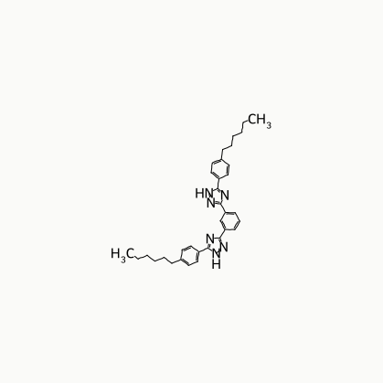 CCCCCCc1ccc(-c2nc(-c3cccc(-c4n[nH]c(-c5ccc(CCCCCC)cc5)n4)c3)n[nH]2)cc1